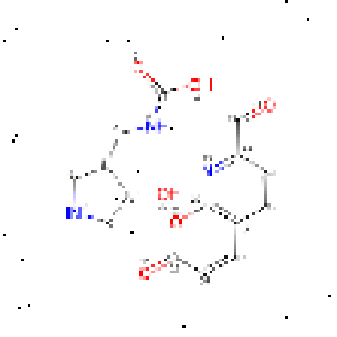 O=C(O)NC[C@H]1CNC[C@H]1O.O=Cc1ccc2ccc(=O)oc2n1